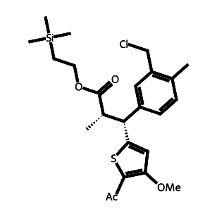 COc1cc([C@@H](c2ccc(C)c(CCl)c2)[C@H](C)C(=O)OCC[Si](C)(C)C)sc1C(C)=O